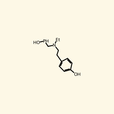 CCN(CCc1ccc(O)cc1)CPO